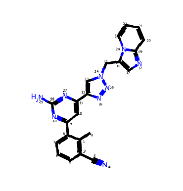 Cc1c(C#N)cccc1-c1cc(-c2cn(Cc3cnc4ccccn34)nn2)nc(N)n1